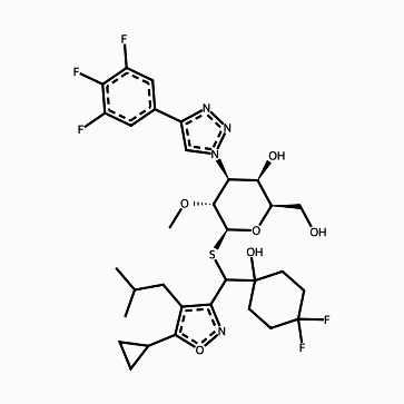 CO[C@@H]1[C@@H](n2cc(-c3cc(F)c(F)c(F)c3)nn2)[C@@H](O)[C@@H](CO)O[C@H]1SC(c1noc(C2CC2)c1CC(C)C)C1(O)CCC(F)(F)CC1